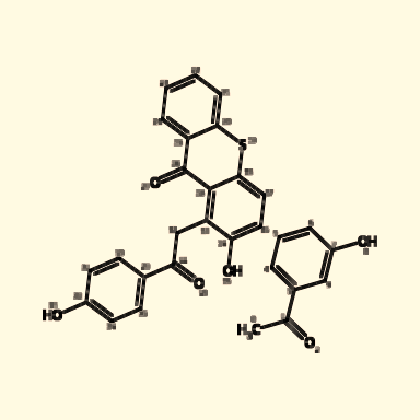 CC(=O)c1cccc(O)c1.O=C(Cc1c(O)ccc2sc3ccccc3c(=O)c12)c1ccc(O)cc1